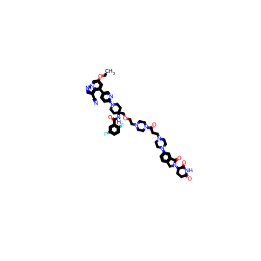 CCOc1cc(-c2ccc(N3CCC(COCCN4CCN(C(=O)CCN5CCN(c6ccc7c(c6)C(=O)N(C6CCC(=O)NC6=O)C7)CC5)CC4)(NC(=O)c4cc(F)ccc4F)CC3)nc2)c2c(C#N)cnn2c1